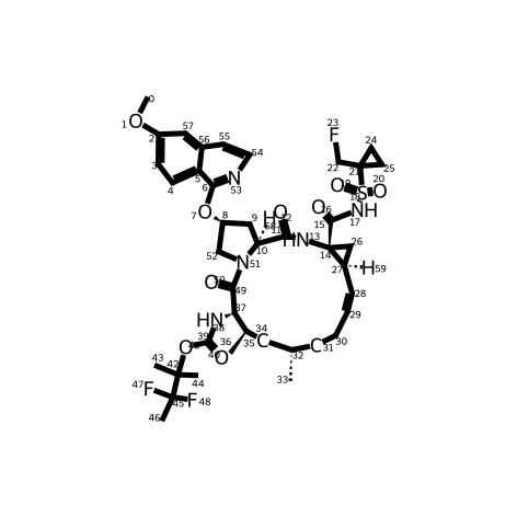 COc1ccc2c(O[C@@H]3C[C@H]4C(=O)N[C@]5(C(=O)NS(=O)(=O)C6(CF)CC6)C[C@H]5/C=C\CC[C@H](C)C[C@@H](C)[C@H](NC(=O)OC(C)(C)C(C)(F)F)C(=O)N4C3)nccc2c1